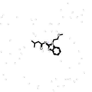 COCCn1/c(=N/C(=O)CC(C)C)sc2ccccc21